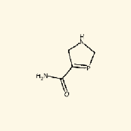 NC(=O)C1=PCNC1